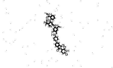 CCc1cc(CNC2CCN(c3ccc4c(c3)C(=O)N(C3CCC(=O)NC3=O)C4=O)CC2)c(F)cc1Nc1cc(Nc2ccccc2C(=O)NC)c(C(F)(F)F)cn1